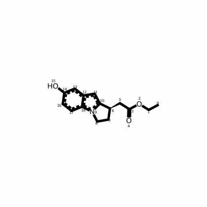 CCOC(=O)C[C@H]1CCn2c1cc1cc(O)ccc12